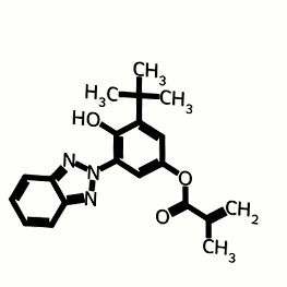 C=C(C)C(=O)Oc1cc(-n2nc3ccccc3n2)c(O)c(C(C)(C)C)c1